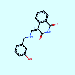 O=C1NC(=O)c2ccccc2/C1=C/NCc1cccc(O)c1